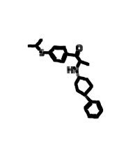 CC(C)Sc1ccc(C(=O)C(C)N[C@H]2CC[C@H](c3ccccc3)CC2)cc1